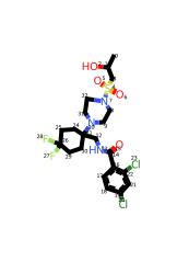 CC(O)CS(=O)(=O)N1CCN(C2(CNC(=O)c3ccc(Cl)cc3Cl)CCC(F)(F)CC2)CC1